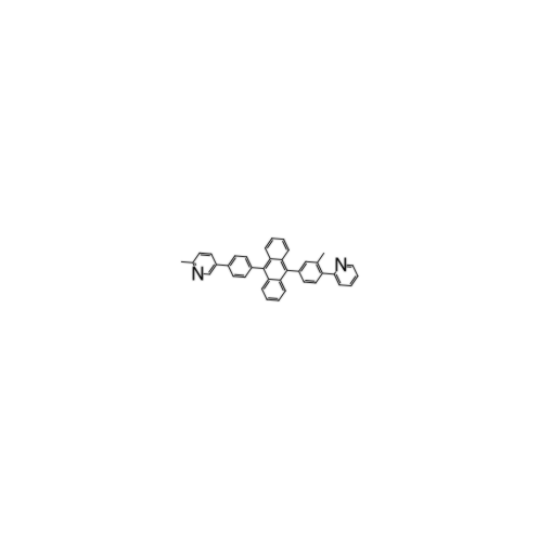 Cc1ccc(-c2ccc(-c3c4ccccc4c(-c4ccc(-c5ccccn5)c(C)c4)c4ccccc34)cc2)cn1